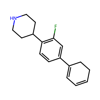 Fc1cc(C2=CC=CCC2)ccc1C1CCNCC1